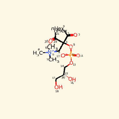 CCCCCCC(=O)C(C[N+](C)(C)C)(OP(=O)([O-])OC[C@H](O)CO)C(=O)CCCCCC